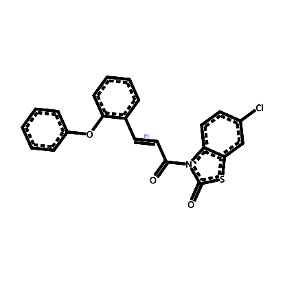 O=C(/C=C/c1ccccc1Oc1ccccc1)n1c(=O)sc2cc(Cl)ccc21